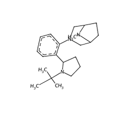 CN1C2CCC1CN(c1ccccc1C1CCCN1C(C)(C)C)C2